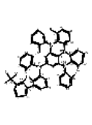 Cc1ccccc1N1c2cc(N(c3ccccc3C)c3cccc4c3oc3c(C(C)(C)C)cccc34)cc3c2B(c2cccc(C)c21)c1cccc(C)c1N3c1ccccc1C